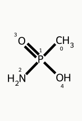 CP(N)(=O)O